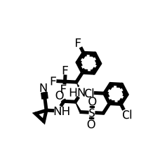 N#CC1(NC(=O)[C@H](CS(=O)(=O)Cc2c(Cl)cccc2Cl)N[C@@H](c2cccc(F)c2)C(F)(F)F)CC1